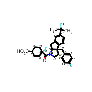 CC(F)(c1ccc2c(c1)CC1N(C(=O)[C@]3(F)CC[C@@H](C(=O)O)CC3)CCC21Cc1ccc(F)cc1)C(F)(F)F